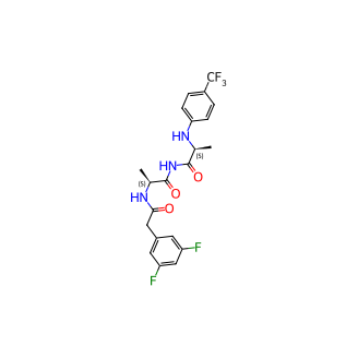 C[C@H](NC(=O)Cc1cc(F)cc(F)c1)C(=O)NC(=O)[C@H](C)Nc1ccc(C(F)(F)F)cc1